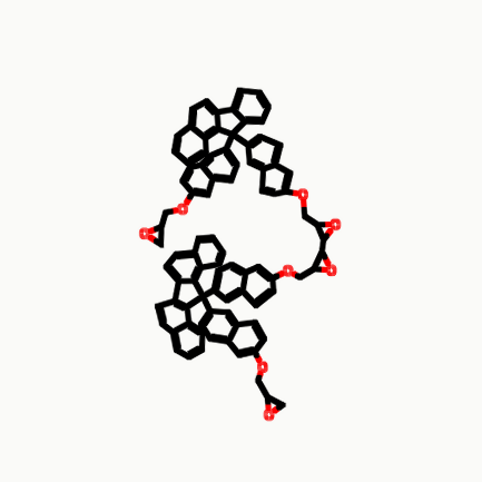 c1ccc2c(c1)-c1ccc3ccccc3c1C2(c1ccc2cc(OCC3CO3)ccc2c1)c1ccc2cc(OCC3OC3C3OC3COc3ccc4cc(C5(c6ccc7cc(OCC8CO8)ccc7c6)c6c(ccc7ccccc67)-c6ccc7ccccc7c65)ccc4c3)ccc2c1